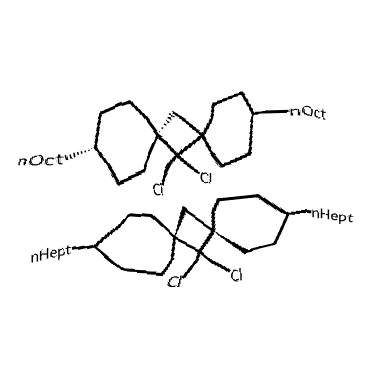 CCCCCCCC1CC[C@]2(CC1)C[C@@]1(CCC(CCCCCCC)CC1)C2(Cl)Cl.CCCCCCCCC1CCC2(CC1)C[C@]1(CC[C@@H](CCCCCCCC)CC1)C2(Cl)Cl